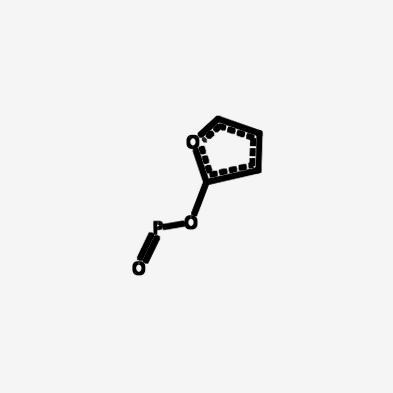 O=POc1ccco1